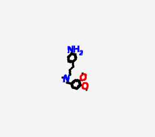 COc1ccc(CN(C)CCCc2ccc(N)cc2)cc1OC